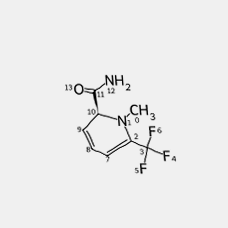 CN1C(C(F)(F)F)=CC=C[C@H]1C(N)=O